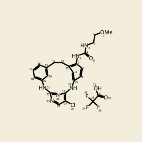 COCCNC(=O)Nc1ccc2cc1CCc1cccc(c1)Nc1ncc(Cl)c(n1)N2.O=C(O)C(F)(F)F